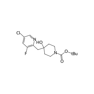 CC(C)(C)OC(=O)N1CCC(O)(Cc2ncc(Cl)cc2F)CC1